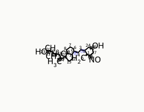 C=C1/C(=C\C=C2/CCC[C@@]3(C)C2CCC3[C@H](C)CCCC(C)(C)O)C[C@@H](O)C[C@@H]1N=O